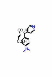 CN(C)c1ccc(Cc2ccncc2)cc1.O=C(O)C=CC(=O)O